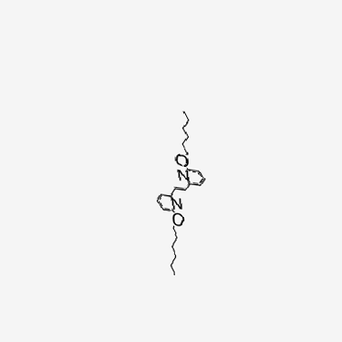 CCCCCCOc1cccc(/C=C/c2cccc(OCCCCCC)n2)n1